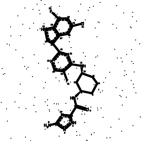 Nc1n[nH]c(C(=O)N[C@@H]2CCC[C@H](Nc3nc(-c4c[nH]c5c(F)cc(Cl)cc45)ncc3F)C2)n1